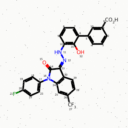 O=C(O)c1cccc(-c2cccc(N/N=C3\C(=O)N(c4ccc(F)cc4)c4cc(C(F)(F)F)ccc43)c2O)c1